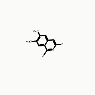 COc1cc2cc(Cl)nc(Cl)c2cc1OC